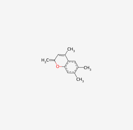 C=C1C=C(C)c2cc(C)c(C)cc2O1